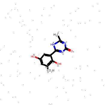 Cc1nc(=O)nc(-c2cc(O)cc(C(=O)O)c2O)[nH]1